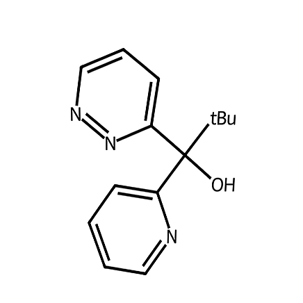 CC(C)(C)C(O)(c1ccccn1)c1cccnn1